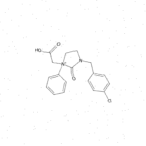 O=C(O)C[N+]1(c2ccccc2)CCN(Cc2ccc(Cl)cc2)C1=O